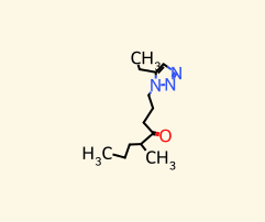 CCCC(C)C(=O)CCCn1nncc1CC